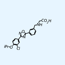 CC(C)Oc1ccc(-c2noc(-c3cccc(CNCC(=O)O)c3)n2)cc1Cl